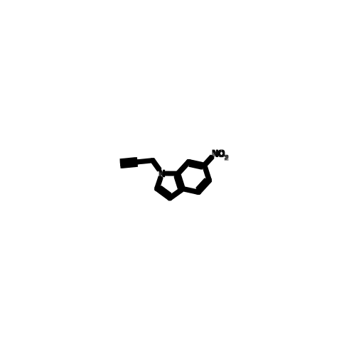 C#CCn1ccc2ccc([N+](=O)[O-])cc21